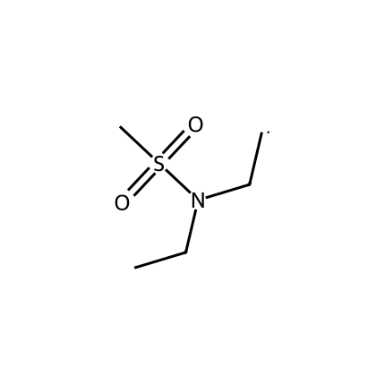 [CH2]CN(CC)S(C)(=O)=O